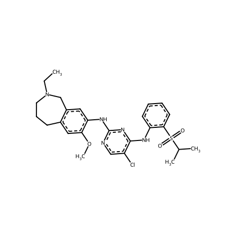 CCN1CCCc2cc(OC)c(Nc3ncc(Cl)c(Nc4ccccc4S(=O)(=O)C(C)C)n3)cc2C1